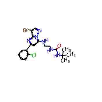 CC(C)(C)NC(=O)NCCNc1cc(-c2ccccc2Cl)nc2c(Br)cnn12